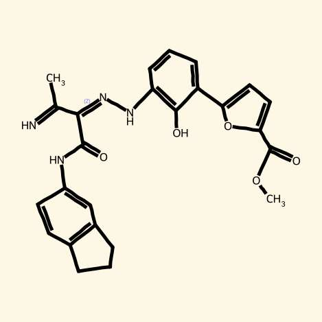 COC(=O)c1ccc(-c2cccc(N/N=C(/C(C)=N)C(=O)Nc3ccc4c(c3)CCC4)c2O)o1